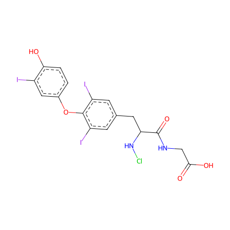 O=C(O)CNC(=O)C(Cc1cc(I)c(Oc2ccc(O)c(I)c2)c(I)c1)NCl